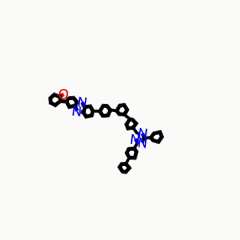 c1ccc(-c2ccc(-c3nc(-c4ccccc4)nc(-c4ccc(-c5cccc(-c6ccc(-c7ccc8nc9cc%10c(cc9nc8c7)oc7ccccc7%10)cc6)c5)cc4)n3)cc2)cc1